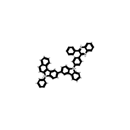 c1ccc(-c2nc3ccccc3nc2-c2ccc(-n3c4ccccc4c4cc(-c5ccc6c(c5)c5c7ccccc7ccc5n6-c5ccccc5)ccc43)cc2)cc1